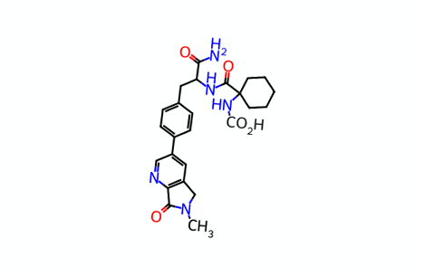 CN1Cc2cc(-c3ccc(CC(NC(=O)C4(NC(=O)O)CCCCC4)C(N)=O)cc3)cnc2C1=O